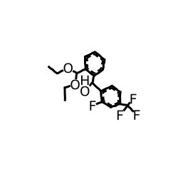 CCOC(OCC)c1ccccc1C(O)c1ccc(C(F)(F)F)cc1F